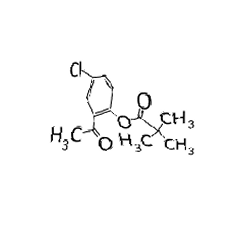 CC(=O)c1cc(Cl)ccc1OC(=O)C(C)(C)C